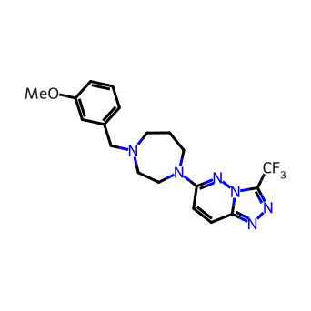 COc1cccc(CN2CCCN(c3ccc4nnc(C(F)(F)F)n4n3)CC2)c1